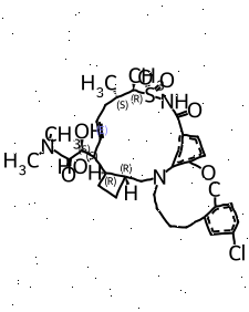 C[C@@H]1[C@@H](C)C/C=C/[C@](O)([C@H](O)C(=O)N(C)C)[C@@H]2CC[C@H]2CN2CCCCc3cc(Cl)ccc3COc3ccc(cc32)C(=O)NS1(=O)=O